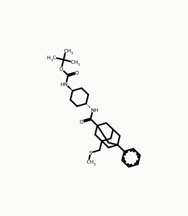 CSCC12CC3CC(C(=O)N[C@H]4CC[C@H](NC(=O)OC(C)(C)C)CC4)(C1)CC(c1ccccc1)(C3)C2